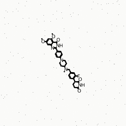 COc1cc(OC)c2c(=O)[nH]c(-c3ccc(N4CCC(N(C)Cc5ccc(C6CCC(=O)NC6=O)c(F)c5)CC4)cc3)nc2c1